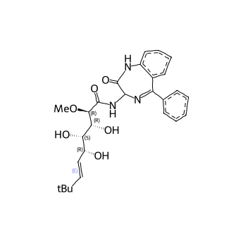 CO[C@@H](C(=O)NC1N=C(c2ccccc2)c2ccccc2NC1=O)[C@H](O)[C@@H](O)[C@H](O)/C=C/C(C)(C)C